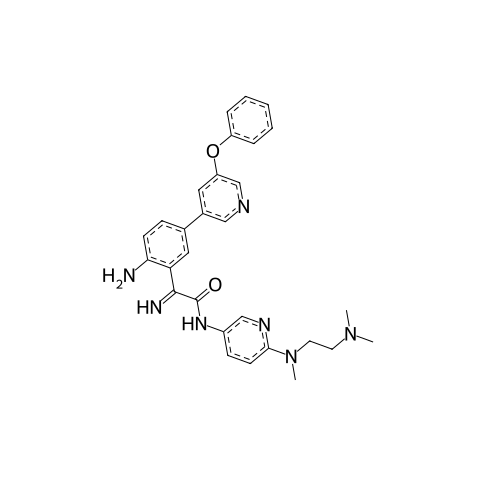 CN(C)CCN(C)c1ccc(NC(=O)C(=N)c2cc(-c3cncc(Oc4ccccc4)c3)ccc2N)cn1